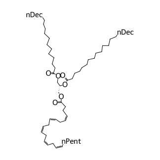 CCCCC/C=C\C/C=C\C/C=C\C/C=C\C/C=C\CCC(=O)OC[C@H](COC(=O)CCCCCCCCCCCCCCCCCCCCC)OC(=O)CCCCCCCCCCCCCCCCCCCCCCC